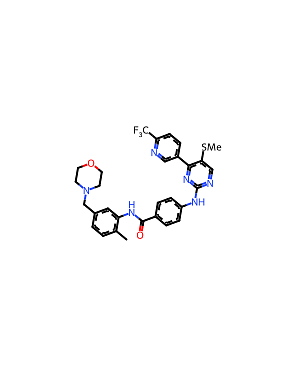 CSc1cnc(Nc2ccc(C(=O)Nc3cc(CN4CCOCC4)ccc3C)cc2)nc1-c1ccc(C(F)(F)F)nc1